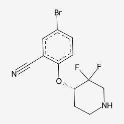 N#Cc1cc(Br)ccc1O[C@H]1CCNCC1(F)F